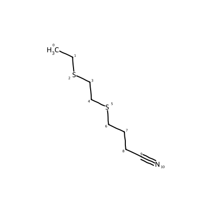 CCSCCSCCCC#N